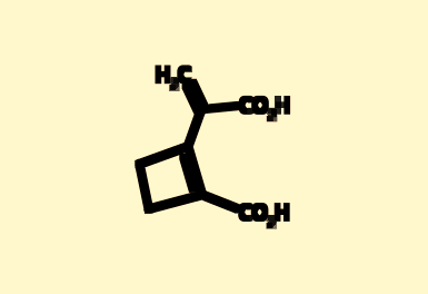 C=C(C(=O)O)C1=C(C(=O)O)CC1